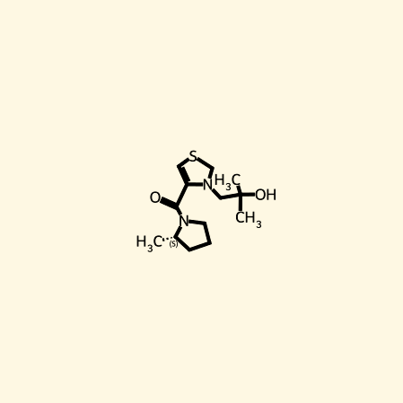 C[C@H]1CCCN1C(=O)C1=CSCN1CC(C)(C)O